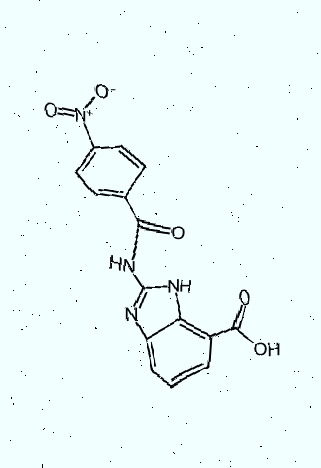 O=C(Nc1nc2cccc(C(=O)O)c2[nH]1)c1ccc([N+](=O)[O-])cc1